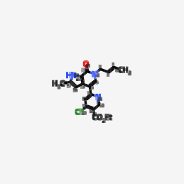 CC=CCn1cc(-c2cc(Cl)c(C(=O)OCC)cn2)c2cc(C)[nH]c2c1=O